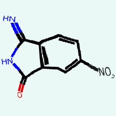 N=C1NC(=O)c2cc([N+](=O)[O-])ccc21